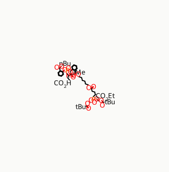 CCCCOC(=O)c1ccccc1OP(=O)(CC(CCC(=O)O)C(=O)OC)Oc1ccccc1C(O)OCCCCCCOC(=O)CCC(CP(=O)(OCOC(=O)C(C)(C)C)OCOC(=O)C(C)(C)C)C(=O)OCC